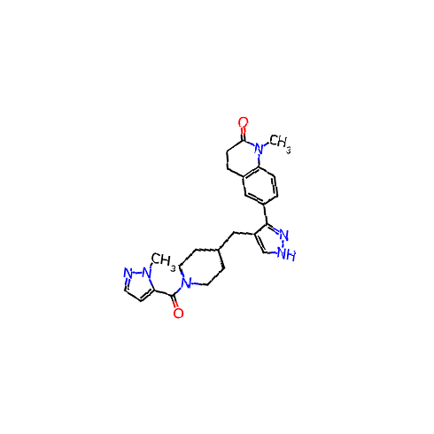 CN1C(=O)CCc2cc(-c3n[nH]cc3CC3CCN(C(=O)c4ccnn4C)CC3)ccc21